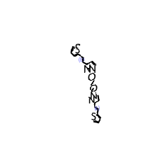 C(=C\c1cccs1)/c1ccn(COCCOCn2ccc(/C=C/c3cccs3)n2)n1